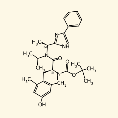 Cc1cc(O)cc(C)c1C[C@H](NC(=O)OC(C)(C)C)C(=O)N(C(C)C)[C@@H](C)c1nc(-c2ccccc2)c[nH]1